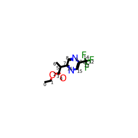 CCOC(=O)C(C)c1cnc(C(F)(F)F)cn1